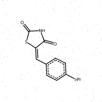 CCCc1ccc(C=C2SC(=O)NC2=O)cc1